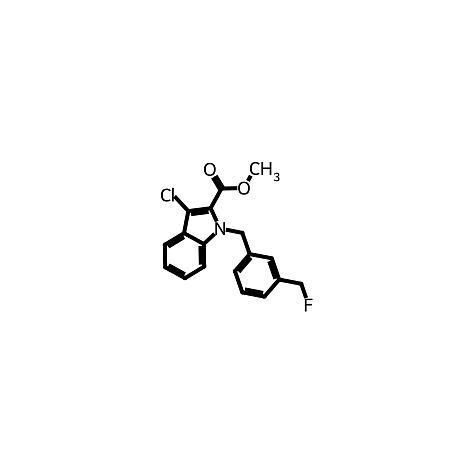 COC(=O)c1c(Cl)c2ccccc2n1Cc1cccc(CF)c1